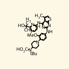 COc1cc(Nc2nc(Nc3cccc(C(C)(C)O)n3)c3c(C)csc3n2)ccc1N1CCC(N(C(=O)O)C(C)(C)C)CC1